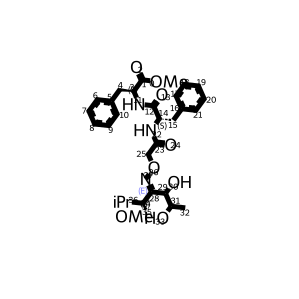 COC(=O)[C@H](Cc1ccccc1)NC(=O)[C@H](Cc1ccccc1)NC(=O)CO/N=C(\C(O)C(C)O)[C@@H](OC)C(C)C